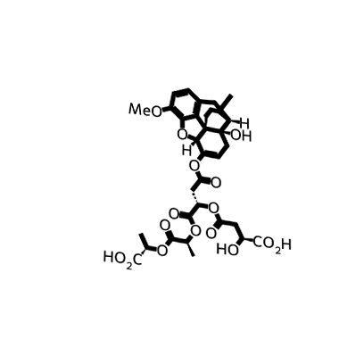 COc1ccc2c3c1O[C@H]1C(OC(=O)C[C@H](OC(=O)C[C@H](O)C(=O)O)C(=O)O[C@@H](C)C(=O)O[C@@H](C)C(=O)O)=CC[C@@]4(O)[C@@H](C2)C(C)CC[C@]314